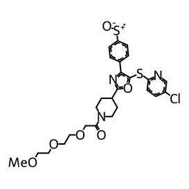 COCCOCCOCC(=O)N1CCC(c2nc(-c3ccc([S+](C)[O-])cc3)c(Sc3ccc(Cl)cn3)o2)CC1